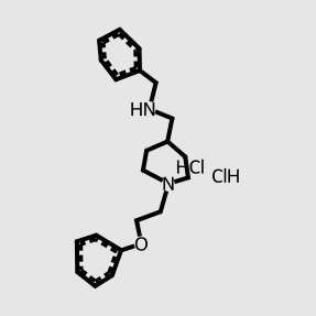 Cl.Cl.c1ccc(CNCC2CCN(CCOc3ccccc3)CC2)cc1